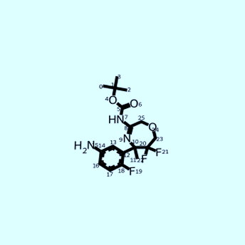 CC(C)(C)OC(=O)NC1=NC(C)(c2cc(N)ccc2F)C(F)(F)COC1